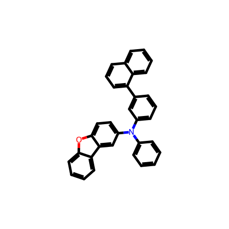 c1ccc(N(c2cccc(-c3cccc4ccccc34)c2)c2ccc3oc4ccccc4c3c2)cc1